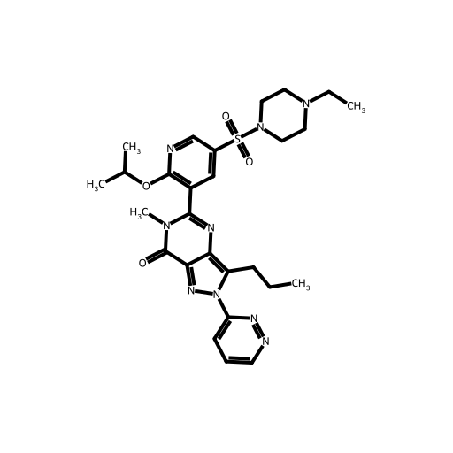 CCCc1c2nc(-c3cc(S(=O)(=O)N4CCN(CC)CC4)cnc3OC(C)C)n(C)c(=O)c2nn1-c1cccnn1